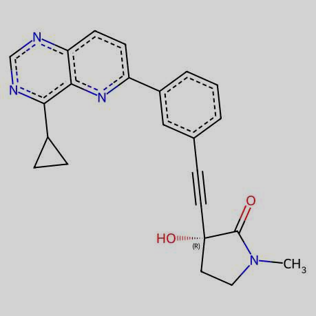 CN1CC[C@@](O)(C#Cc2cccc(-c3ccc4ncnc(C5CC5)c4n3)c2)C1=O